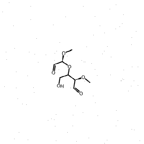 CO[C@H](C=O)OC(CO)[C@H](C=O)OC